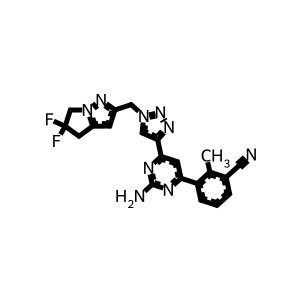 Cc1c(C#N)cccc1-c1cc(-c2cn(Cc3cc4n(n3)CC(F)(F)C4)nn2)nc(N)n1